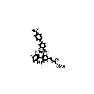 [2H][C@H](c1ccc(-c2ccc(N(C)C)cc2)cc1)N(C(=O)[C@@H]1C[C@@H]2CC[C@H]1C2)c1cc(F)cc(/C=C/C(=O)OC)c1